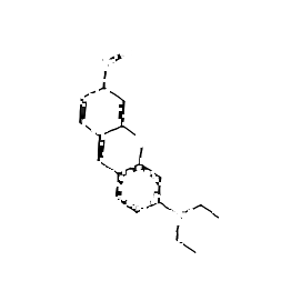 CCN(CC)c1ccc2c(c1)SC1=CC(N=O)C=CC1=C2